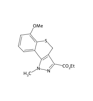 CCOC(=O)c1nn(C)c2c1CSc1c(OC)cccc1-2